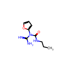 CCCNC(=O)N(C(=N)N)c1ccco1